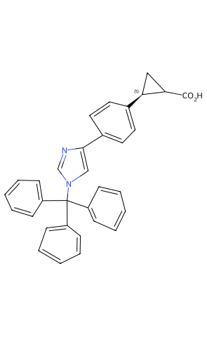 O=C(O)C1C[C@@H]1c1ccc(-c2cn(C(c3ccccc3)(c3ccccc3)c3ccccc3)cn2)cc1